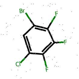 Fc1c(Cl)cc(Br)c(F)c1F